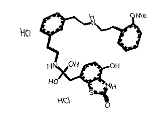 COc1ccccc1CCNCCc1cccc(CCNC(O)(O)Cc2ccc(O)c3[nH]c(=O)sc23)c1.Cl.Cl